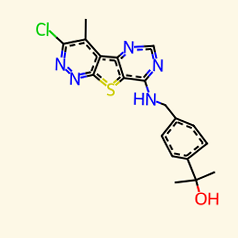 Cc1c(Cl)nnc2sc3c(NCc4ccc(C(C)(C)O)cc4)ncnc3c12